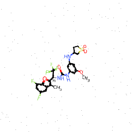 COc1cc(NC(=O)N[C@H](c2oc3c(F)cc(F)cc3c2C)C(F)(F)F)cc(NC2CCS(=O)(=O)C2)c1